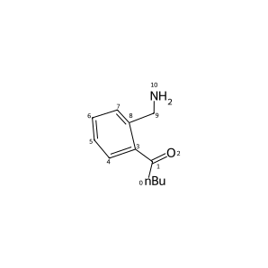 CCCCC(=O)c1ccccc1CN